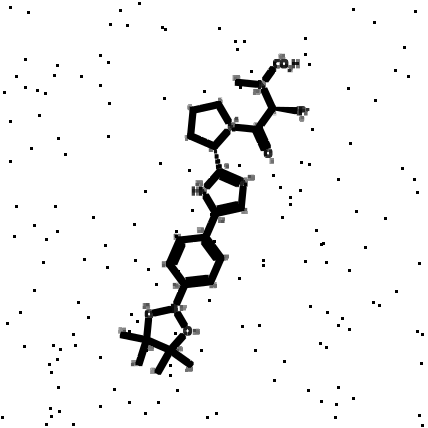 CC(C)[C@@H](C(=O)N1CCC[C@H]1c1ncc(-c2ccc(B3OC(C)(C)C(C)(C)O3)cc2)[nH]1)N(C)C(=O)O